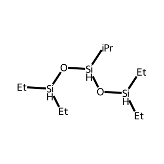 CC[SiH](CC)O[SiH](O[SiH](CC)CC)C(C)C